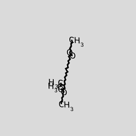 CCCCCCOC(=O)CCCCCCCCCCCCCCC(CC(=O)OCCCCCC)C(C)C